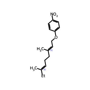 CC/C(C)=C/CC/C(C)=C/COc1ccc([N+](=O)[O-])cc1